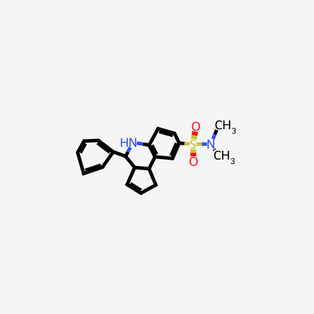 CN(C)S(=O)(=O)c1ccc2c(c1)C1CC=CC1C(c1ccccc1)N2